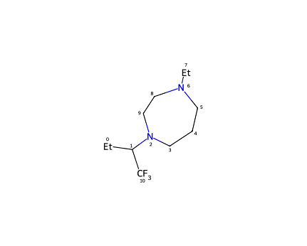 CCC(N1CCCN(CC)CC1)C(F)(F)F